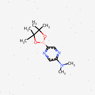 CN(C)c1cnc(B2OC(C)(C)C(C)(C)O2)cn1